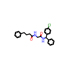 O=C(CCCc1ccccc1)NCC(=O)NC(c1ccccc1)c1ccc(Cl)cc1